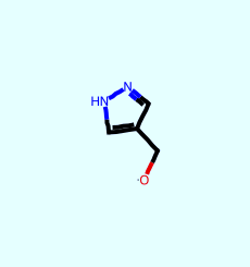 [O]Cc1cn[nH]c1